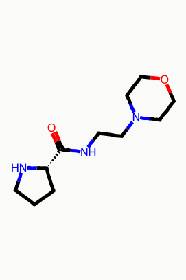 O=C(NCCN1CCOCC1)[C@@H]1CCCN1